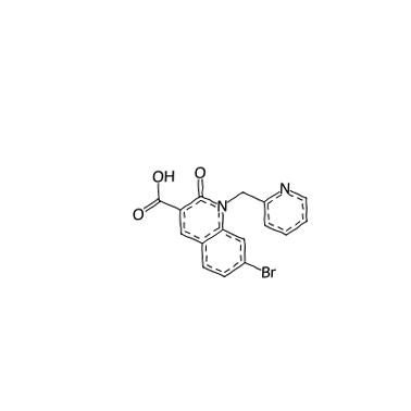 O=C(O)c1cc2ccc(Br)cc2n(Cc2ccccn2)c1=O